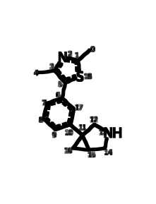 Cc1nc(C)c(-c2cccc(C34CNCC3C4)c2)s1